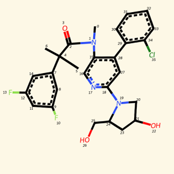 CN(C(=O)C(C)(C)c1cc(F)cc(F)c1)c1cnc(N2CC(O)CC2CO)cc1-c1ccccc1Cl